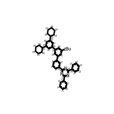 CC(C)(C)c1cc(-c2cccc(-c3nc(-c4ccccc4)nc(-c4ccccc4)n3)c2)cc(-c2cc(C3CCCCC3)cc(C3CCCCC3)c2)c1